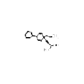 C=CCC1(C#CC(C)O)C=CC(c2ccccc2)C=C1